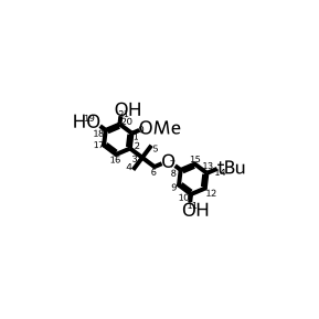 COc1c(C(C)(C)COc2cc(O)cc(C(C)(C)C)c2)ccc(O)c1O